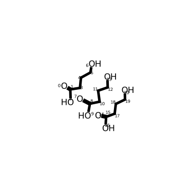 O=C(O)CCCO.O=C(O)CCCO.O=C(O)CCCO